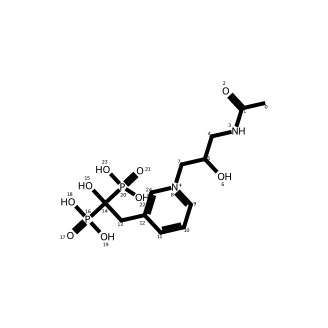 CC(=O)NCC(O)C[n+]1cccc(CC(O)(P(=O)(O)O)P(=O)(O)O)c1